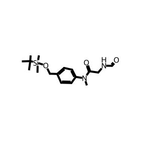 CN(C(=O)CNC=O)c1ccc(CO[Si](C)(C)C(C)(C)C)cc1